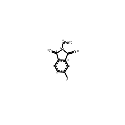 CCCCCN1C(=O)c2ccc(I)cc2C1=O